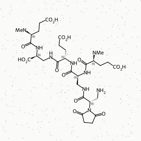 CN[C@@H](CCC(=O)O)C(=O)N[C@@H](CNC(=O)[C@H](CCC(=O)O)NC(=O)[C@H](CNC(=O)[C@H](CN)N1C(=O)CCC1=O)NC(=O)[C@H](CCC(=O)O)NC)C(=O)O